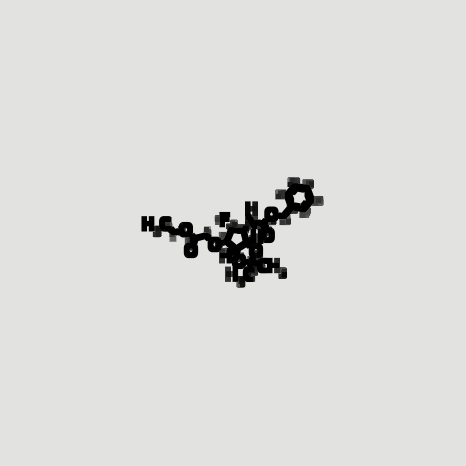 CCOC(=O)CO[C@H]1[C@H](F)[C@@H](NC(=O)OCc2ccccc2)[C@@H]2OC(C)(C)O[C@H]12